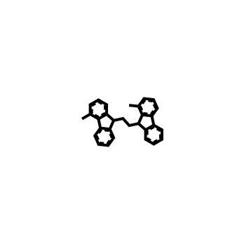 Cc1cccc2c1-c1ccccc1C2CCC1c2ccccc2-c2cccc(C)c21